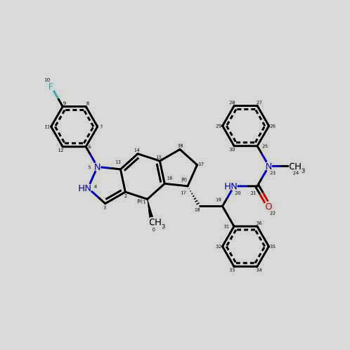 C[C@H]1C2=CNN(c3ccc(F)cc3)C2=CC2=C1[C@@H](CC(NC(=O)N(C)c1ccccc1)c1ccccc1)CC2